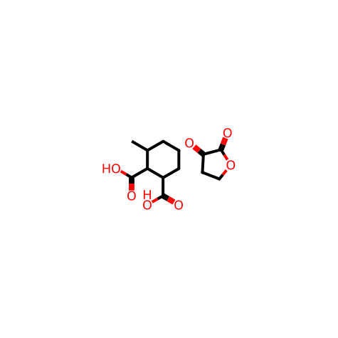 CC1CCCC(C(=O)O)C1C(=O)O.O=C1CCOC1=O